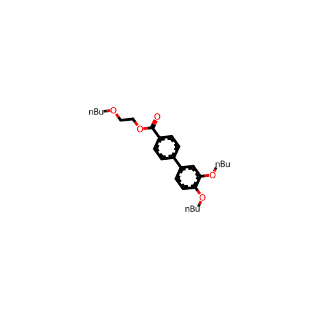 CCCCOCCOC(=O)c1ccc(-c2ccc(OCCCC)c(OCCCC)c2)cc1